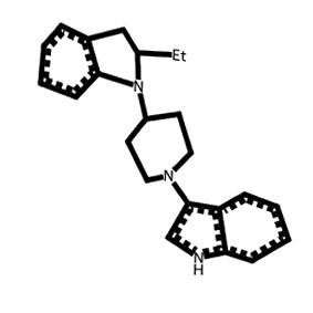 CCC1Cc2ccccc2N1C1CCN(c2c[nH]c3ccccc23)CC1